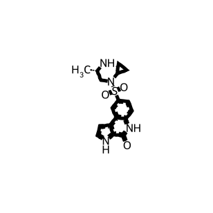 C[C@H](N)CN(C1CC1)S(=O)(=O)c1ccc2[nH]c(=O)c3[nH]ccc3c2c1